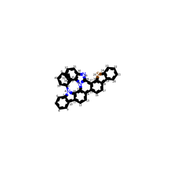 c1ccc(-n2c3ccccc3c3ccc4c5ccc6c7ccccc7sc6c5c5nc6ccccc6n5c4c32)cc1